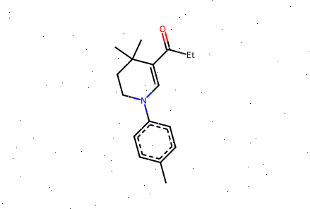 CCC(=O)C1=CN(c2ccc(C)cc2)CCC1(C)C